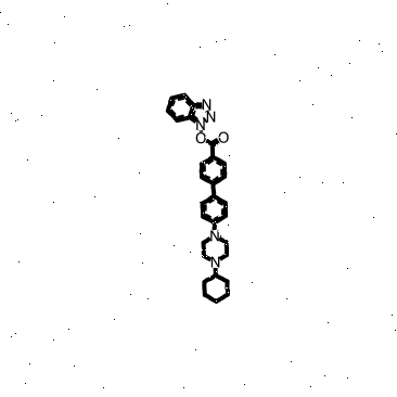 O=C(On1nnc2ccccc21)c1ccc(-c2ccc(N3CCN(C4CCCCC4)CC3)cc2)cc1